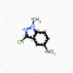 Cn1nc(Cl)c2cc([N+](=O)[O-])ccc21